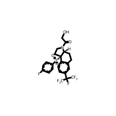 O=C(CO)N1CC[C@@]2(S(=O)(=O)c3ccc(F)cc3)c3ccc(C(F)(C(F)(F)F)C(F)(F)F)cc3CC[C@@H]12